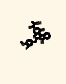 COc1ccc(Cc2nc3c(c4c2[nH]c2ccccc24)C(=O)CN(C(=O)C(C)O)C3)cc1F